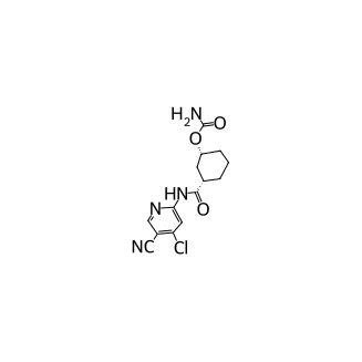 N#Cc1cnc(NC(=O)[C@H]2CCC[C@@H](OC(N)=O)C2)cc1Cl